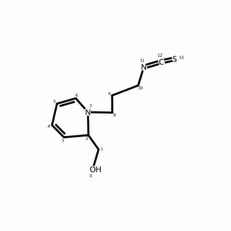 OCC1C=CC=CN1CCCN=C=S